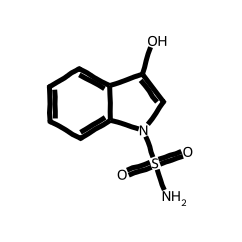 NS(=O)(=O)n1cc(O)c2ccccc21